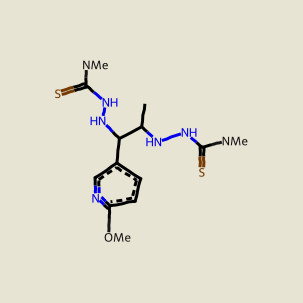 CNC(=S)NNC(C)C(NNC(=S)NC)c1ccc(OC)nc1